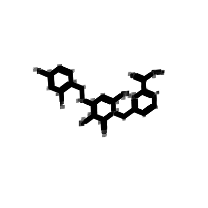 COC(=O)c1nccc(Cn2c(C)cc(OCc3ccc(F)cc3F)c(Br)c2=O)n1